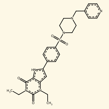 CCn1c(=O)c2[nH]c(-c3ccc(S(=O)(=O)N4CCN(Cc5ccncc5)CC4)cc3)cc2n(CC)c1=O